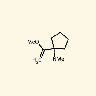 C=C(OC)C1(NC)CCCC1